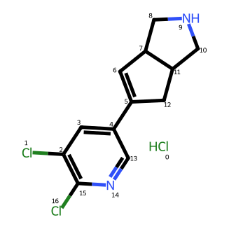 Cl.Clc1cc(C2=CC3CNCC3C2)cnc1Cl